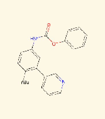 CCCCc1ccc(NC(=O)Oc2ccccc2)cc1-c1cccnc1